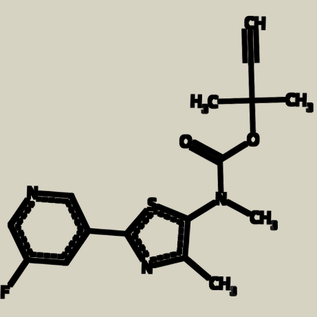 C#CC(C)(C)OC(=O)N(C)c1sc(-c2cncc(F)c2)nc1C